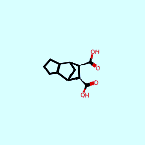 O=C(O)[C@@H]1C2CC(C3CCCC32)[C@@H]1C(=O)O